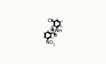 O=[N+]([O-])c1cccc(S(=O)(=O)Nc2cccc(Cl)c2)c1